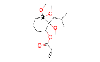 C=CC(=O)OC1CCC[Si](OC)(OC)C1(CC(C)C)OC